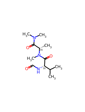 CC(C)[C@H](NC=O)C(=O)N(C)[C@@H](C)C(=O)N(C)C